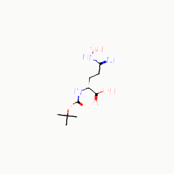 CC(C)(C)OC(=O)N[C@@H](CCC(=N)NO)C(=O)O